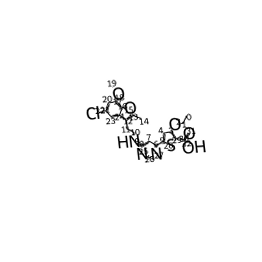 CCOc1cc(-c2cc(NCCc3c(C)oc4c(OC)cc(Cl)cc34)ncn2)sc1C(=O)O